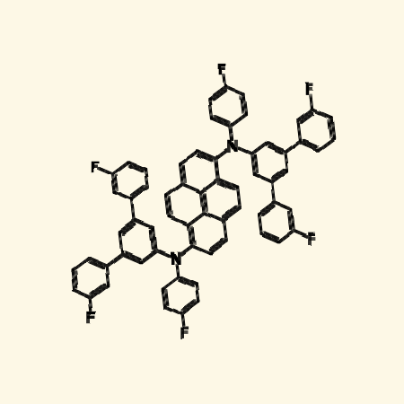 Fc1ccc(N(c2cc(-c3cccc(F)c3)cc(-c3cccc(F)c3)c2)c2ccc3ccc4c(N(c5ccc(F)cc5)c5cc(-c6cccc(F)c6)cc(-c6cccc(F)c6)c5)ccc5ccc2c3c54)cc1